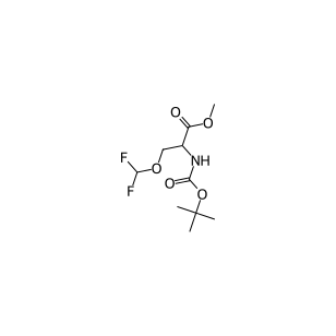 COC(=O)C(COC(F)F)NC(=O)OC(C)(C)C